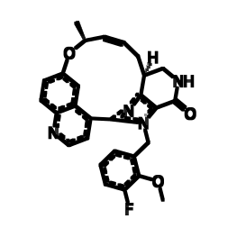 COc1c(F)cccc1Cn1c2nc3c1C(=O)NC[C@@H]3C/C=C\[C@H](C)Oc1ccc3nccc-2c3c1